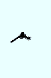 CCCCCCCCCCOC(=O)C1CCCCC1C(=O)OCCCCCC(C)C